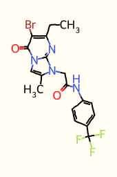 CCc1nc2n(CC(=O)Nc3ccc(C(F)(F)F)cc3)c(C)cn2c(=O)c1Br